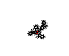 CC1(C)c2ccccc2-c2cc(N(c3ccc4c(c3)-c3ccccc3C4(C)C)c3ccccc3-c3cccc4c3oc3ccccc34)ccc21